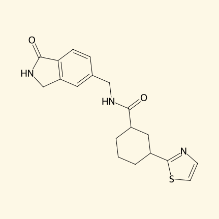 O=C1NCc2cc(CNC(=O)C3CCCC(c4nccs4)C3)ccc21